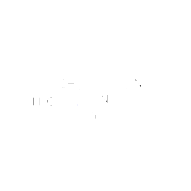 CC(C)/C=C/C(=O)N1CCC(N2CCCC2)CC1